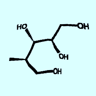 C[C@H](CO)[C@H](O)[C@H](O)CO